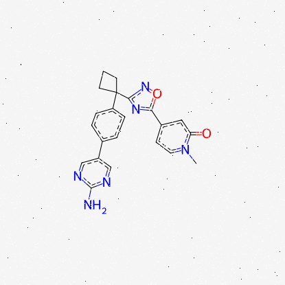 Cn1ccc(-c2nc(C3(c4ccc(-c5cnc(N)nc5)cc4)CCC3)no2)cc1=O